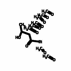 C=O.C=O.C=O.C=O.C=O.C=O.C=O.C=O.CCC(=O)CC(C)O